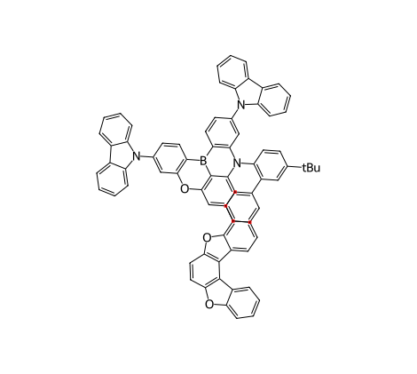 CC(C)(C)c1ccc(N2c3cc(-n4c5ccccc5c5ccccc54)ccc3B3c4ccc(-n5c6ccccc6c6ccccc65)cc4Oc4cc(-c5cccc6c5oc5ccc7oc8ccccc8c7c56)cc2c43)c(-c2ccccc2)c1